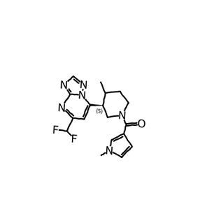 CC1CCN(C(=O)c2ccn(C)c2)C[C@H]1c1cc(C(F)F)nc2ncnn12